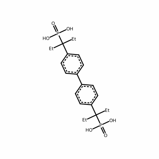 CCC(CC)(c1ccc(-c2ccc(C(CC)(CC)P(=O)(O)O)cc2)cc1)P(=O)(O)O